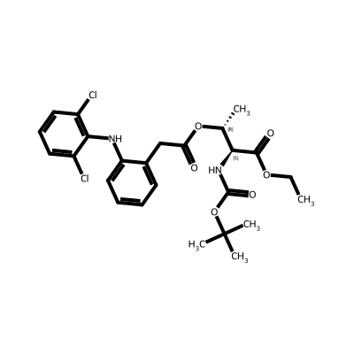 CCOC(=O)[C@@H](NC(=O)OC(C)(C)C)[C@@H](C)OC(=O)Cc1ccccc1Nc1c(Cl)cccc1Cl